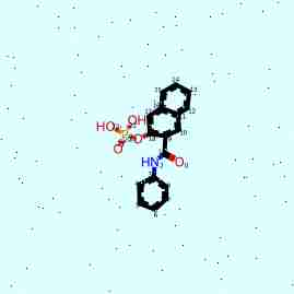 O=C(Nc1ccccc1)c1cc2ccccc2cc1OP(=O)(O)O